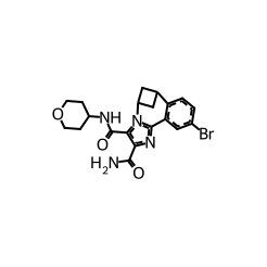 NC(=O)c1nc2n(c1C(=O)NC1CCOCC1)C1CC(C1)c1ccc(Br)cc1-2